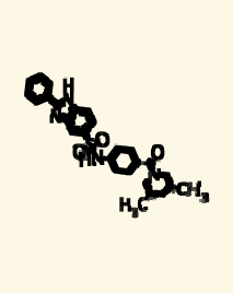 C[C@@H]1C[C@H](C)CN(C(=O)[C@H]2CC[C@H](NS(=O)(=O)c3ccc4[nH]c(-c5ccccc5)nc4c3)CC2)C1